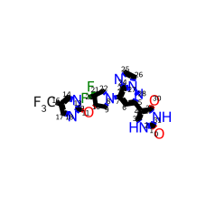 O=c1[nH]cc(-c2cc(N3CC(Oc4ncc(C(F)(F)F)cn4)C(F)(F)C3)c3nccn3n2)c(=O)[nH]1